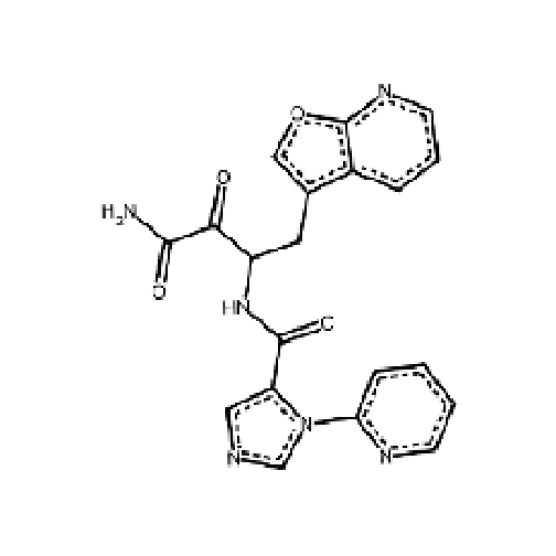 NC(=O)C(=O)C(Cc1coc2ncccc12)NC(=O)c1cncn1-c1ccccn1